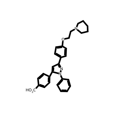 O=C(O)c1ccc(-c2cc(-c3ccc(OCCN4CCCCC4)cc3)nn2-c2ccccc2)cc1